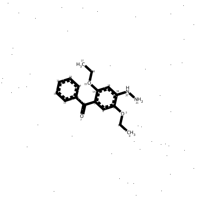 CCOc1cc(C(=O)c2ccccc2)c(OCC)cc1NN